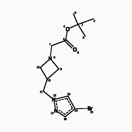 CC(C)(C)OC(=O)CN1CC(Cn2cc(Br)cn2)C1